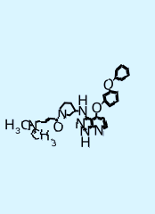 CN(C)CC=CC(=O)N1CCCC(Nc2n[nH]c3nccc(Oc4cccc(Oc5ccccc5)c4)c23)C1